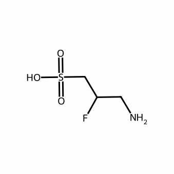 NCC(F)CS(=O)(=O)O